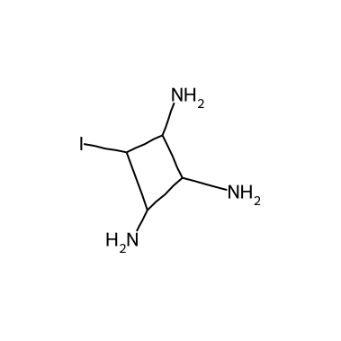 NC1C(N)C(I)C1N